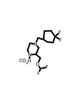 O=C(O)N1CCN(CC2CCC(F)(F)CC2)CC1COC(F)F